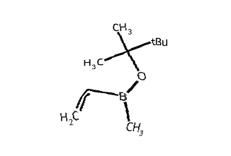 C=CB(C)OC(C)(C)C(C)(C)C